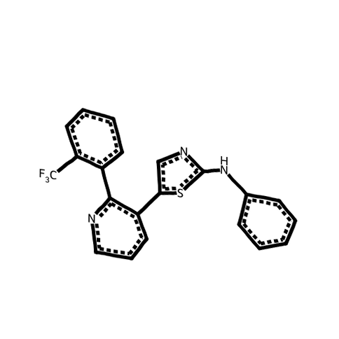 FC(F)(F)c1ccccc1-c1ncccc1-c1cnc(Nc2ccccc2)s1